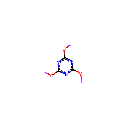 IOc1nc(OI)nc(OI)n1